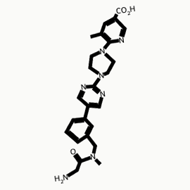 Cc1cc(C(=O)O)cnc1N1CCN(c2ncc(-c3cccc(CN(C)C(=O)CN)c3)cn2)CC1